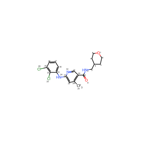 O=C(NCC1CCOCC1)c1cnc(Nc2cccc(Cl)c2Cl)cc1C(F)(F)F